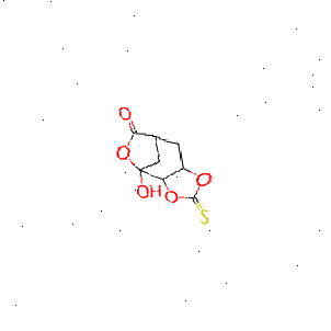 O=C1OC2(O)CC1CC1OC(=S)OC12